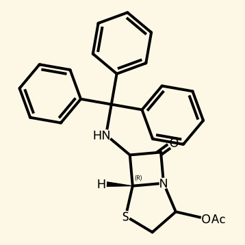 CC(=O)OC1CS[C@@H]2C(NC(c3ccccc3)(c3ccccc3)c3ccccc3)C(=O)N12